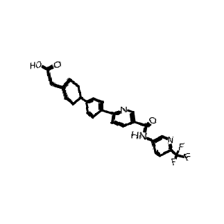 O=C(O)CC1CCC(c2ccc(-c3ccc(C(=O)Nc4ccc(C(F)(F)F)nc4)cn3)cc2)CC1